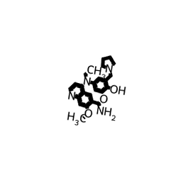 CCN(c1ccc(O)c(CN2CCCC2)c1)c1ccnc2cc(OC)c(C(N)=O)cc12